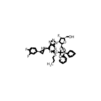 CCCSc1nc(N[C@H]2C[C@H]2c2ccc(F)c(F)c2)c2nnn([C@@H]3[C@H](F)[C@H](CO)O[C@H]3CO[Si](c3ccccc3)(c3ccccc3)C(C)(C)C)c2n1